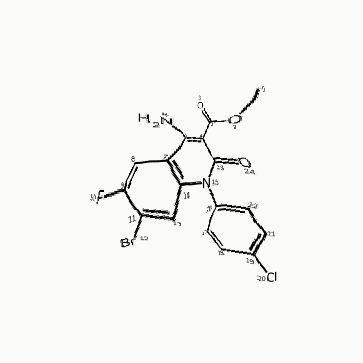 COC(=O)c1c(N)c2cc(F)c(Br)cc2n(-c2ccc(Cl)cc2)c1=O